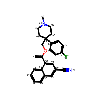 C=C(OCC1(c2ccc(F)cc2)CCN(C)CC1)c1cc(C#N)cc2ccccc12